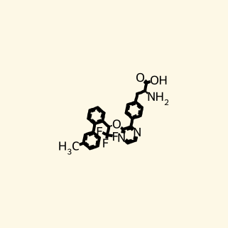 Cc1cccc(-c2ccccc2[C@H](Oc2nccnc2-c2ccc(C[C@H](N)C(=O)O)cc2)C(F)(F)F)c1